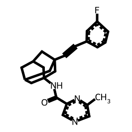 Cc1cncc(C(=O)NC23CC4CC(CC(C#Cc5cccc(F)c5)(C4)C2)C3)n1